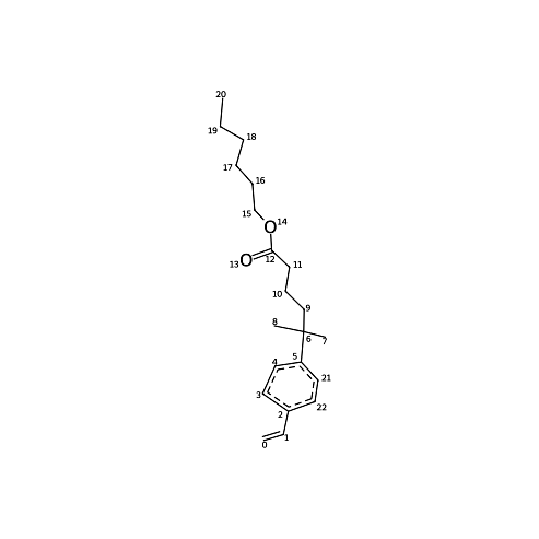 C=Cc1ccc(C(C)(C)CCCC(=O)OCCCCCC)cc1